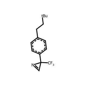 CC(C)(C)CCc1ccc(C2(C(F)(F)F)C=N2)cc1